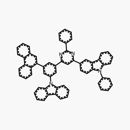 c1ccc(-c2nc(-c3cc(-c4cc5ccccc5c5ccccc45)cc(-n4c5ccccc5c5ccccc54)c3)cc(-c3ccc4c(c3)c3ccccc3n4-c3ccccc3)n2)cc1